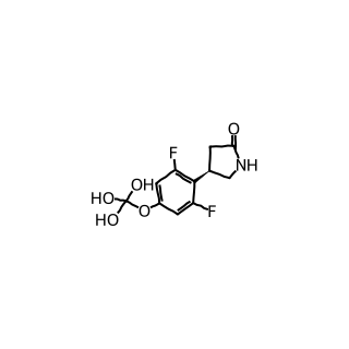 O=C1C[C@H](c2c(F)cc(OC(O)(O)O)cc2F)CN1